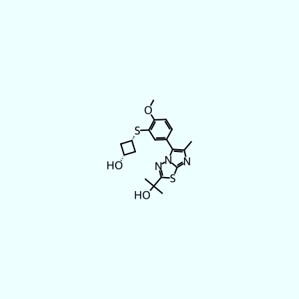 COc1ccc(-c2c(C)nc3sc(C(C)(C)O)nn23)cc1S[C@H]1C[C@@H](O)C1